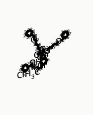 C[C@H](Cc1ccc2c(c1)OC(C(=O)OCC=CCOCc1ccccc1)(C(=O)OCC=CCOCc1ccccc1)O2)NCC(O)c1cccc(Cl)c1